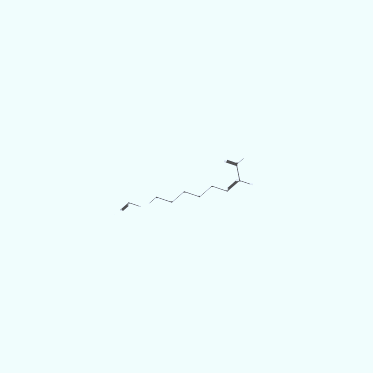 C=COCCCCCC=C(C)C(=O)O